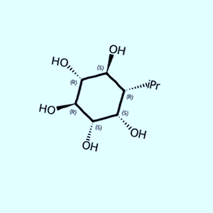 CC(C)[C@@H]1[C@H](O)[C@H](O)[C@@H](O)[C@H](O)[C@H]1O